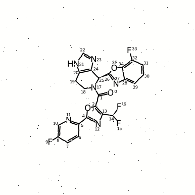 O=C(c1oc(-c2ccc(F)cn2)nc1C(F)F)N1CCc2[nH]cnc2[C@H]1c1nc2cccc(F)c2o1